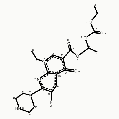 CCOC(=O)OC(C)OC(=O)c1cn(CC)c2nc(N3CCNCC3)c(F)cc2c1=O